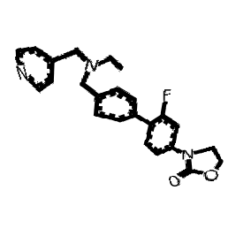 CCN(Cc1ccncc1)Cc1ccc(-c2ccc(N3CCOC3=O)cc2F)cc1